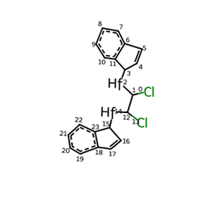 Cl[CH]([Hf][CH]1C=Cc2ccccc21)[CH](Cl)[Hf][CH]1C=Cc2ccccc21